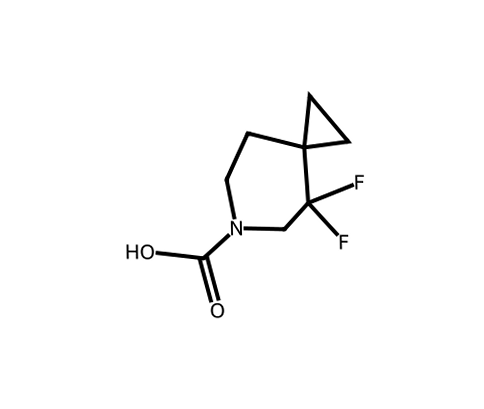 O=C(O)N1CCC2(CC2)C(F)(F)C1